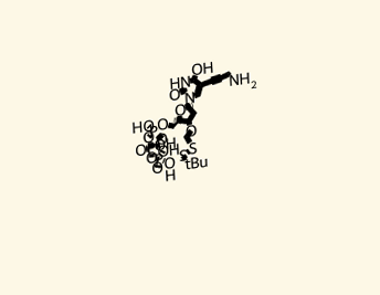 CC(C)(C)SSCOC1C[C@H](N2C=C(C#CCN)C(O)NC2=O)O[C@@H]1COP(=O)(O)OP(=O)(O)OP(=O)(O)O